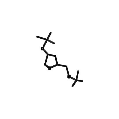 CC(C)(C)OCC1CC(OC(C)(C)C)CO1